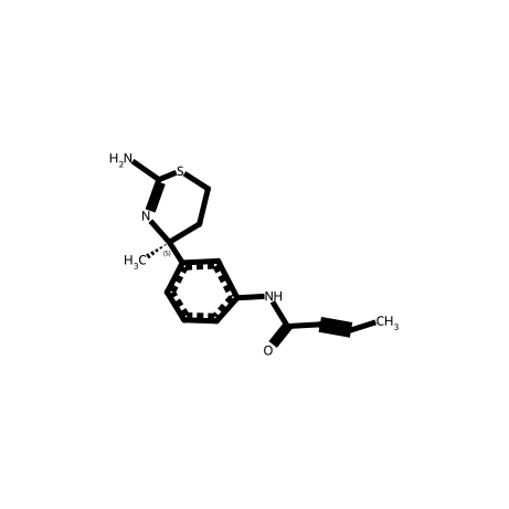 CC#CC(=O)Nc1cccc([C@]2(C)CCSC(N)=N2)c1